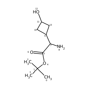 CC(C)(C)OC(=O)C(N)C1CC(O)C1